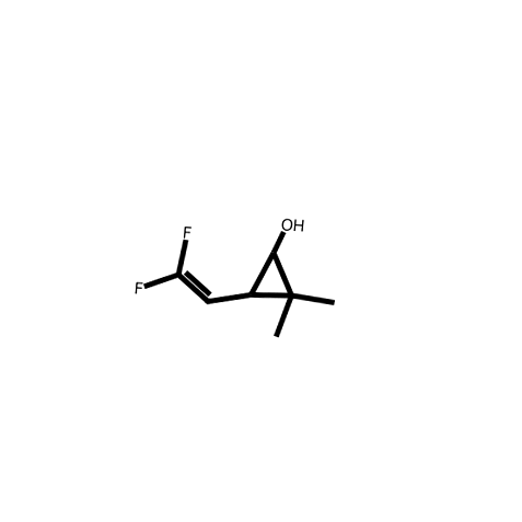 CC1(C)C(O)C1C=C(F)F